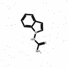 NC(=S)Nn1ccc2ccccc21